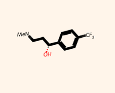 CNCC[C@@H](O)c1ccc(C(F)(F)F)cc1